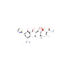 CNC(=O)C1=C(O)C[C@@H]2C[C@@H]3Cc4c(N(C)C)cc(-c5nccs5)c(O)c4C(=O)C3=C(O)[C@]2(O)C1=O